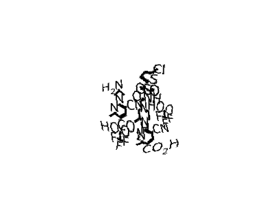 Cc1nc(N2CC(N)C2)c(C#N)cc1C(=O)O.Cc1nc(N2CCN(C(=O)NS(=O)(=O)c3ccc(Cl)s3)CC2C)c(C#N)cc1C(=O)O.O=C(O)C(F)(F)F.O=C(O)C(F)(F)F